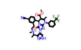 COC(=O)C1=C(C)N(c2cccc(C(F)(F)F)c2)c2n[nH]c(=O)n2C1c1ccc(C#N)cc1CC[N+](C)(C)C(C)c1cc[nH]n1